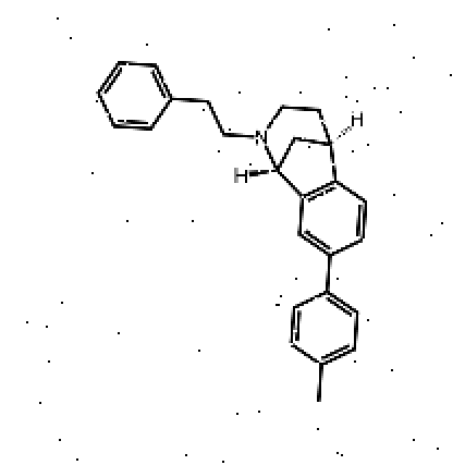 Cc1ccc(-c2ccc3c(c2)[C@H]2C[C@H]3CCN2CCc2ccccc2)cc1